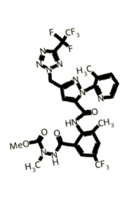 COC(=O)N(C)NC(=O)c1cc(C(F)(F)F)cc(C)c1NC(=O)c1cc(Cn2nnc(C(F)(F)C(F)(F)F)n2)nn1-c1ncccc1C